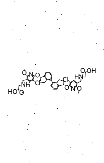 COc1nc(O[C@H]2CCc3c(-c4cccc5c4CC[C@@H]5Oc4nc(OC)c(CNCC(=O)O)cc4Cl)cccc32)c(Cl)cc1CNCC(=O)O